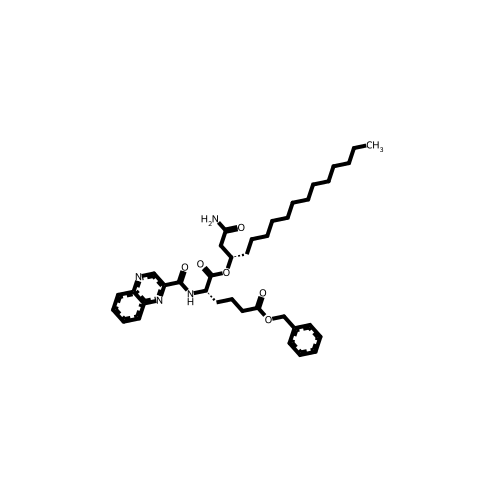 CCCCCCCCCCCCC[C@@H](CC(N)=O)OC(=O)[C@H](CCCC(=O)OCc1ccccc1)NC(=O)c1cnc2ccccc2n1